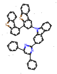 c1ccc(-c2cc(-c3ccccc3)nc(-c3ccc4c5ccccc5n(-c5cc(-c6cccc7sc8ccccc8c67)c6sc7ccccc7c6c5)c4c3)n2)cc1